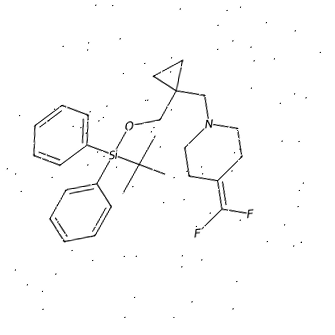 CC(C)(C)[Si](OCC1(CN2CCC(=C(F)F)CC2)CC1)(c1ccccc1)c1ccccc1